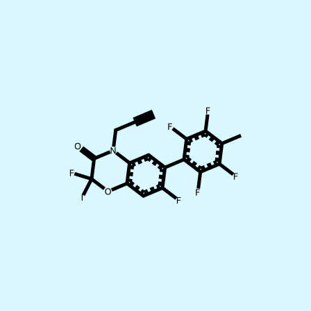 C#CCN1C(=O)C(F)(I)Oc2cc(F)c(-c3c(F)c(F)c(C)c(F)c3F)cc21